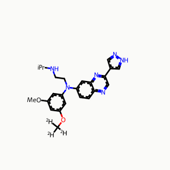 [2H]C([2H])([2H])Oc1cc(OC)cc(N(CCNC(C)C)c2ccc3ncc(-c4cn[nH]c4)nc3c2)c1